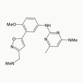 CNCc1cc(-c2cc(Nc3nc(C)cc(NC)n3)ccc2OC)on1